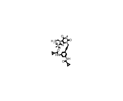 BCn1c(S(C)(=O)=O)nc2c1c(=O)n(C)c(=O)n2CC#Cc1cc(NC(=O)C2CC2)cc(NC(=O)C2CC2)c1